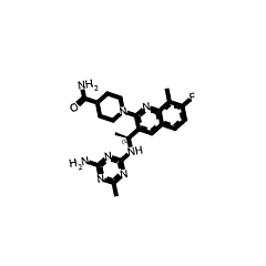 Cc1nc(N)nc(N[C@@H](C)c2cc3ccc(F)c(C)c3nc2N2CCC(C(N)=O)CC2)n1